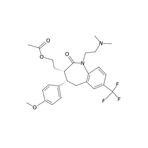 COc1ccc([C@H]2Cc3cc(C(F)(F)F)ccc3N(CCN(C)C)C(=O)[C@H]2CCOC(C)=O)cc1